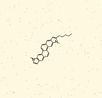 CCCCCc1cc2cc3ccc4c5cc6c(ccn6C)cc5ccc4c3cc2n1C